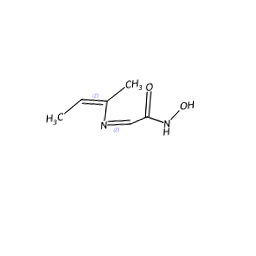 C/C=C(C)\N=C/C(=O)NO